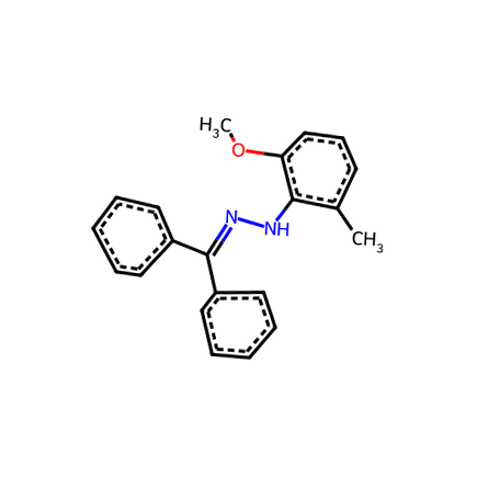 COc1cccc(C)c1NN=C(c1ccccc1)c1ccccc1